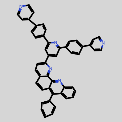 c1ccc(-c2c3ccccc3nc3c2ccc2ccc(-c4cc(-c5ccc(-c6ccncc6)cc5)nc(-c5ccc(-c6ccncc6)cc5)c4)nc23)cc1